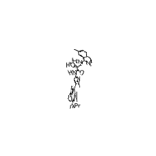 CCCc1nc(-c2cc(NC(=O)[C@@H](O)CNc3nccc4ccc(C)cc34)nn2C)no1